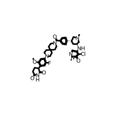 COc1cc(N2CCC3(CCN(C(=O)c4ccc([C@H]5C[C@@H](Nc6cnn(C)c(=O)c6Cl)CN(C)C5)cc4)CC3)CC2)c(F)cc1C1CCC(=O)NC1=O